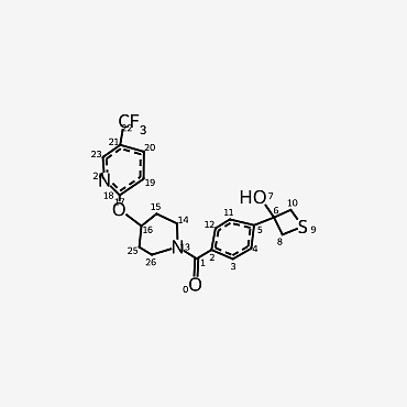 O=C(c1ccc(C2(O)CSC2)cc1)N1CCC(Oc2ccc(C(F)(F)F)cn2)CC1